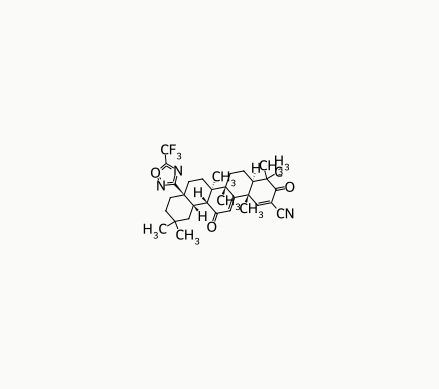 CC1(C)CC[C@]2(c3noc(C(F)(F)F)n3)CC[C@]3(C)[C@H](C(=O)C=C4[C@@]5(C)C=C(C#N)C(=O)C(C)(C)[C@@H]5CC[C@]43C)[C@@H]2C1